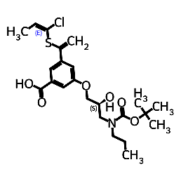 C=C(S/C(Cl)=C\C)c1cc(OC[C@@H](O)CN(CCC)C(=O)OC(C)(C)C)cc(C(=O)O)c1